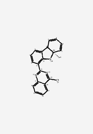 C[C@@]12C=CC=CC1c1cccc(-c3nc(Cl)c4ccccc4n3)c1S2